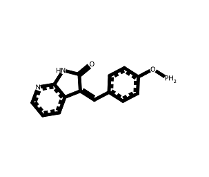 O=C1Nc2ncccc2C1=Cc1ccc(OP)cc1